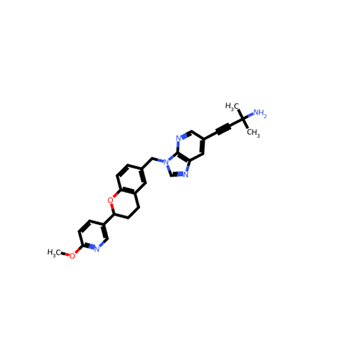 COc1ccc(C2CCc3cc(Cn4cnc5cc(C#CC(C)(C)N)cnc54)ccc3O2)cn1